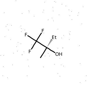 CC[C@@](C)(O)C(F)(F)F